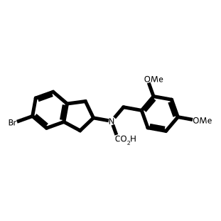 COc1ccc(CN(C(=O)O)C2Cc3ccc(Br)cc3C2)c(OC)c1